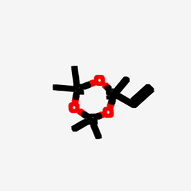 C=C[Si]1(C)O[Si](C)(C)O[Si](C)(C)O1